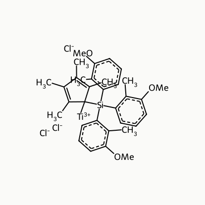 COc1cccc([Si](c2cccc(OC)c2C)(c2cccc(OC)c2C)[C]2([Ti+3])C(C)=C(C)C(C)=C2C)c1C.[Cl-].[Cl-].[Cl-]